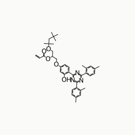 C=CC(=O)OC(COc1ccc(-c2nc(-c3ccc(C)cc3C)nc(-c3ccc(C)cc3C)n2)c(O)c1)COC(C)(C)CC(C)(C)C